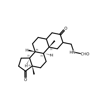 C[C@]12CC(CNC=O)C(=O)CC1CC[C@@H]1[C@@H]2CC[C@]2(C)C(=O)CC[C@@H]12